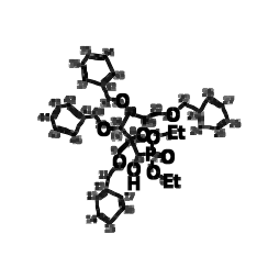 CCOP(=O)(OCC)C(O)[C@@]1(COCc2ccccc2)O[C@H](COCc2ccccc2)[C@@H](OCc2ccccc2)[C@@H]1OCc1ccccc1